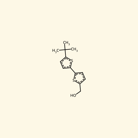 CC(C)(C)c1ccc(-c2ccc(CO)s2)s1